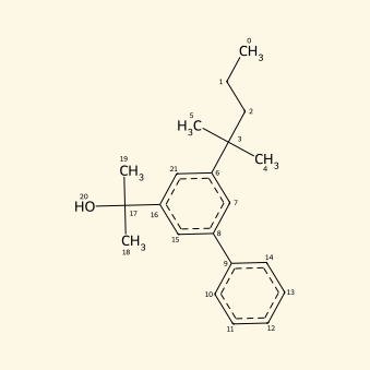 CCCC(C)(C)c1cc(-c2ccccc2)cc(C(C)(C)O)c1